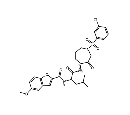 COc1ccc2oc(C(=O)NC(CC(C)C)C(=O)N[C@H]3CCCN(S(=O)(=O)c4cccc(Cl)c4)CC3=O)cc2c1